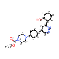 CC(C)(C)OC(=O)N1CCN(c2ccc(-c3cnnc(-c4ccccc4O)c3)cc2)CC1